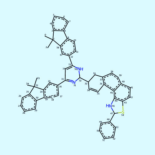 CC1(C)c2ccccc2-c2ccc(C3=CC(c4ccc5c(c4)C(C)(C)c4ccccc4-5)=NC(C4C=Cc5c(ccc6ccc7c(c56)NC(c5ccccc5)S7)C4)N3)cc21